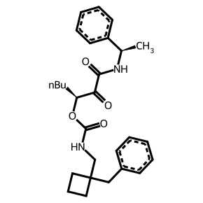 CCCC[C@H](OC(=O)NCC1(Cc2ccccc2)CCC1)C(=O)C(=O)N[C@H](C)c1ccccc1